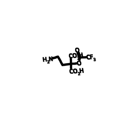 NCCC(OC(=O)C(F)(F)F)(C(=O)O)C(=O)O